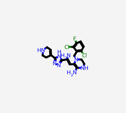 NC1=C(/C=C(\N)c2nnc(C3=CCNCC3)[nH]2)N(Cc2c(Cl)ccc(F)c2Cl)CCN1